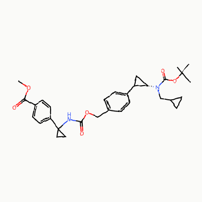 COC(=O)c1ccc(C2(NC(=O)OCc3ccc(C4C[C@@H]4N(CC4CC4)C(=O)OC(C)(C)C)cc3)CC2)cc1